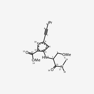 COCC(Nc1cc(C#CC(C)C)sc1C(=O)OC)C(=O)N(C)C